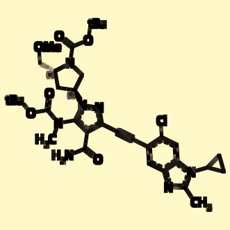 COC[C@H]1C[C@H](n2nc(C#Cc3cc4nc(C)n(C5CC5)c4cc3Cl)c(C(N)=O)c2N(C)C(=O)OC(C)(C)C)CN1C(=O)OC(C)(C)C